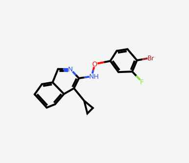 Fc1cc(ONc2ncc3ccccc3c2C2CC2)ccc1Br